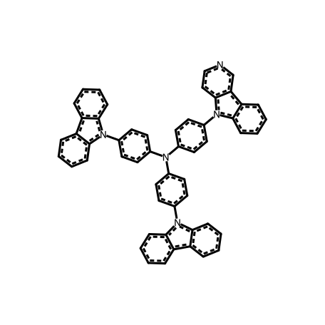 c1ccc2c(c1)c1ccccc1n2-c1ccc(N(c2ccc(-n3c4ccccc4c4ccccc43)cc2)c2ccc(-n3c4ccccc4c4cnccc43)cc2)cc1